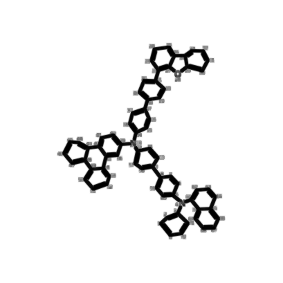 c1ccc(N(c2ccc(-c3ccc(N(c4ccc(-c5ccc(-c6cccc7c6oc6ccccc67)cc5)cc4)c4ccc5c6ccccc6c6ccccc6c5c4)cc3)cc2)c2cccc3ccccc23)cc1